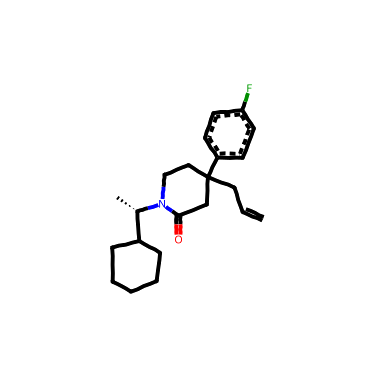 C=CCC1(c2ccc(F)cc2)CCN([C@@H](C)C2CCCCC2)C(=O)C1